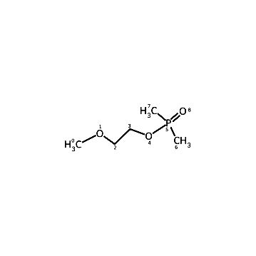 COCCOP(C)(C)=O